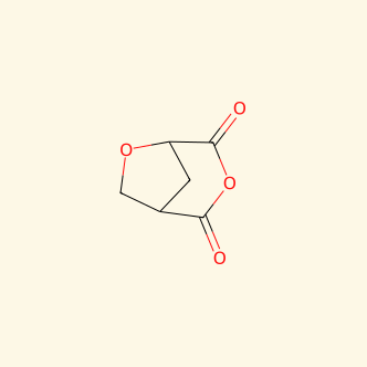 O=C1OC(=O)C2CC1CO2